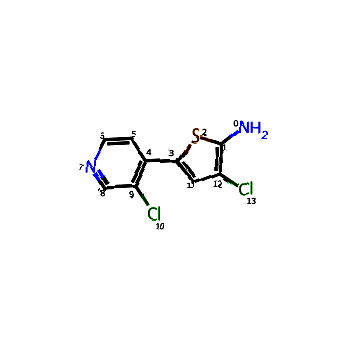 Nc1sc(-c2ccn[c]c2Cl)cc1Cl